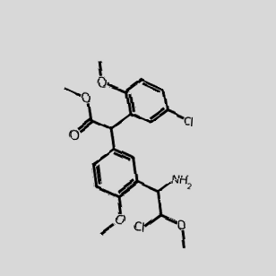 COC(=O)C(c1ccc(OC)c(C(N)C(Cl)OC)c1)c1cc(Cl)ccc1OC